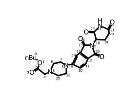 CCCCOC(=O)CN1CCN(c2ccc3c(c2)C(=O)N(C2CCC(=O)NC2=O)C3=O)CC1